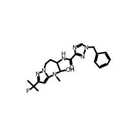 CN1c2cc(C(C)(C)F)nn2CCC(NC(=O)c2ncn(Cc3ccccc3)n2)C1O